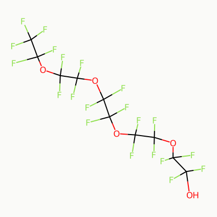 OC(F)(F)C(F)(F)OC(F)(F)C(F)(F)OC(F)(F)C(F)(F)OC(F)(F)C(F)(F)OC(F)(F)C(F)(F)F